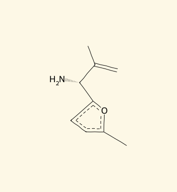 C=C(C)[C@@H](N)c1ccc(C)o1